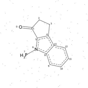 O=C1CCc2c1n(P)c1ccccc21